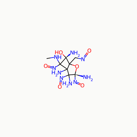 CNC1(N=O)C2(N)C(CN=O)(O[C@](N)(N=O)C2(N)N=O)[C@@]1(N)O